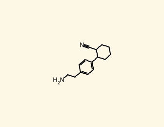 N#CC1CCCCC1c1ccc(CCN)cc1